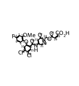 COc1cc(F)ccc1Oc1cc(Cl)c(Cl)cc1C(=O)Nc1cnn(COC(=O)/C=C\C(=O)O)c(=O)c1